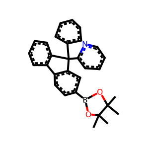 CC1(C)OB(c2ccc3c(c2)C(c2ccccc2)(c2ccccn2)c2ccccc2-3)OC1(C)C